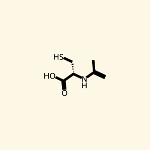 C=C(C)N[C@@H](CS)C(=O)O